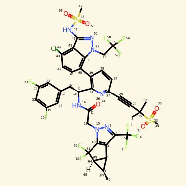 C[C@@H]1C2c3c(C(F)(F)F)nn(CC(=O)N[C@@H](Cc4cc(F)cc(F)c4)c4nc(C#CC(C)(C)S(C)(=O)=O)ccc4-c4ccc(Cl)c5c(NS(C)(=O)=O)nn(CC(F)(F)F)c45)c3C(F)(F)[C@@H]21